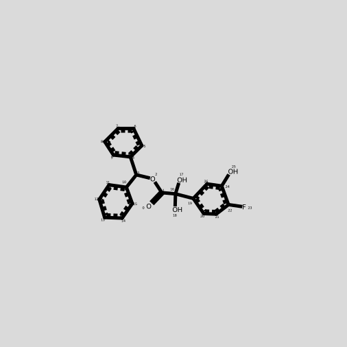 O=C(OC(c1ccccc1)c1ccccc1)C(O)(O)c1ccc(F)c(O)c1